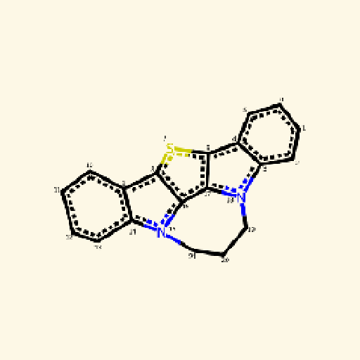 c1ccc2c(c1)c1sc3c4ccccc4n4c3c1n2CCC4